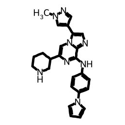 Cn1cc(-c2cnc3c(Nc4ccc(-n5cccc5)cc4)nc(C4CCCNC4)cn23)cn1